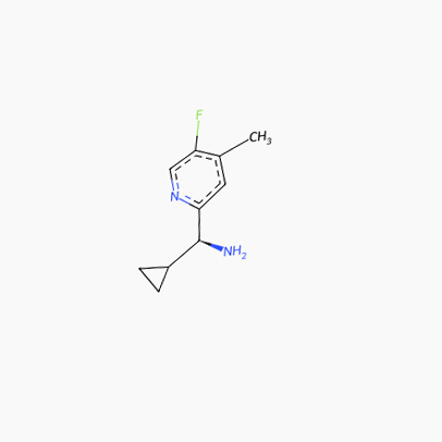 Cc1cc([C@@H](N)C2CC2)ncc1F